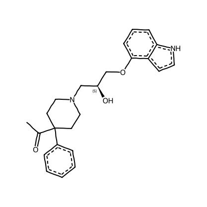 CC(=O)C1(c2ccccc2)CCN(C[C@H](O)COc2cccc3[nH]ccc23)CC1